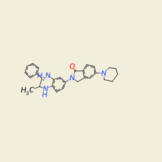 CC(Cc1ccccc1)Nc1ccc(N2Cc3cc(N4CCCCC4)ccc3C2=O)cc1N